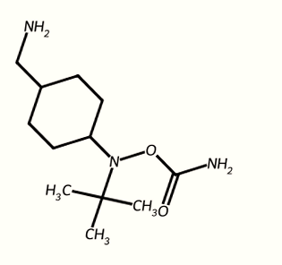 CC(C)(C)N(OC(N)=O)C1CCC(CN)CC1